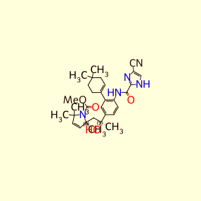 COC(=O)N1C(C)(C)C=C[C@@]1(C)C[C@](C)(O)c1ccc(NC(=O)c2nc(C#N)c[nH]2)c(C2=CCC(C)(C)CC2)c1